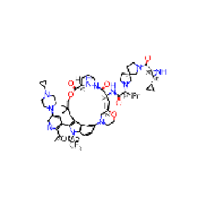 CO[C@@H](C)c1ncc(N2CCN(C3CC3)CC2)cc1-c1c2c3cc(ccc3n1CC(F)(F)F)N1CCO[C@@H](C[C@H](NC(=O)[C@H](C(C)C)N3CC[C@]4(CCN(C(=O)[C@@H]5N[C@@H]5C5CC5)C4)C3)C(=O)N3CCC[C@H](N3)C(=O)OCC(C)(C)C2)C1